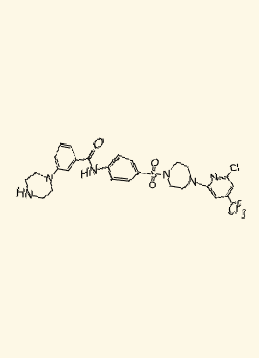 O=C(Nc1ccc(S(=O)(=O)N2CCN(c3cc(C(F)(F)F)cc(Cl)n3)CC2)cc1)c1cccc(N2CCNCC2)c1